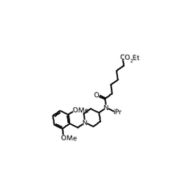 CCOC(=O)CCCCCC(=O)N(C(C)C)C1CCN(Cc2c(OC)cccc2OC)CC1